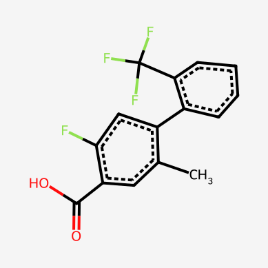 Cc1cc(C(=O)O)c(F)cc1-c1ccccc1C(F)(F)F